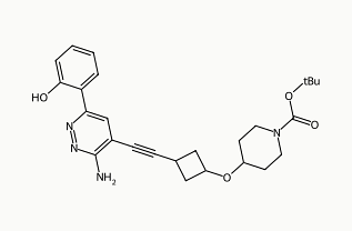 CC(C)(C)OC(=O)N1CCC(OC2CC(C#Cc3cc(-c4ccccc4O)nnc3N)C2)CC1